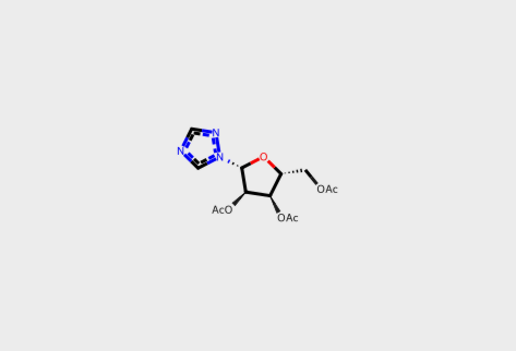 CC(=O)OC[C@H]1O[C@@H](n2cncn2)[C@H](OC(C)=O)[C@@H]1OC(C)=O